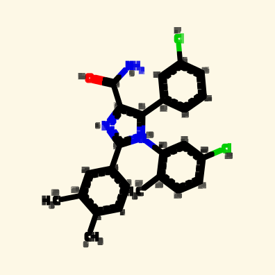 Cc1ccc(-c2nc(C(N)=O)c(-c3cccc(Cl)c3)n2-c2cc(Cl)ccc2C)cc1C